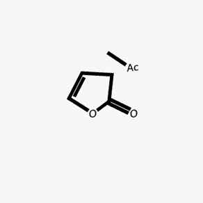 CC(C)=O.O=C1CC=CO1